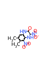 Cc1cc2c(c([N+](=O)[O-])c1C)NC([N+](=O)[O-])C(=O)N2